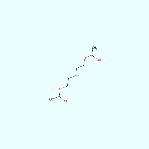 CC(O)OCCNCCOC(C)O